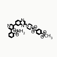 CS(=O)(=O)c1ccc(S(=O)(=O)N2CCN(c3cnc4ccc(-c5cncc(-c6ccccc6S(N)(=O)=O)c5)cc4n3)CC2)cc1